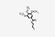 COc1cc(C(=O)N=CC=S)cc(OC)c1OC